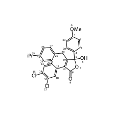 COc1ccc(C2(O)OC(=O)C(c3ccc(Cl)c(Cl)c3)=C2Cc2ccc(C(C)C)cc2)cc1